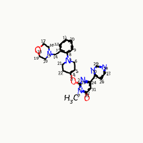 Cn1c(OC2CCN(c3ccccc3CN3CCOCC3)CC2)nc(-c2ccncn2)cc1=O